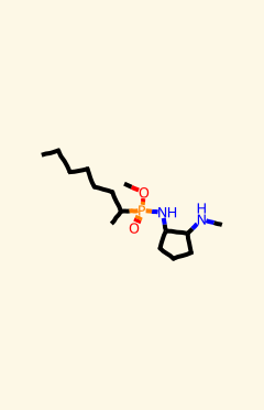 CCCCCCC(C)P(=O)(NC1CCCC1NC)OC